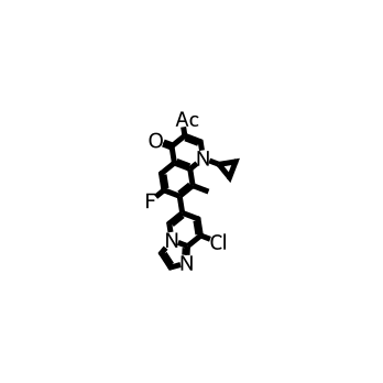 CC(=O)c1cn(C2CC2)c2c(C)c(-c3cc(Cl)c4nccn4c3)c(F)cc2c1=O